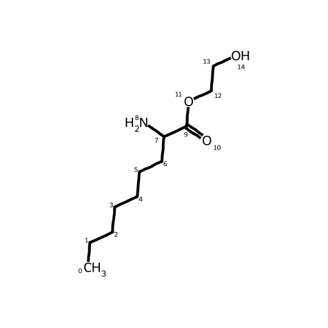 CCCCCCCC(N)C(=O)OCCO